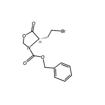 O=C1OCN(C(=O)OCc2ccccc2)[C@H]1CCBr